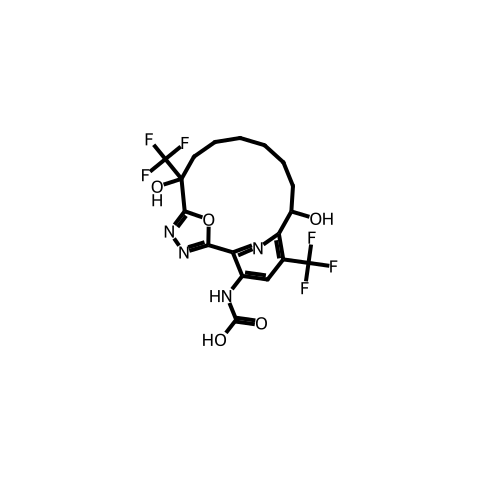 O=C(O)Nc1cc(C(F)(F)F)c2nc1-c1nnc(o1)C(O)(C(F)(F)F)CCCCCCC2O